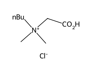 CCCC[N+](C)(C)CC(=O)O.[Cl-]